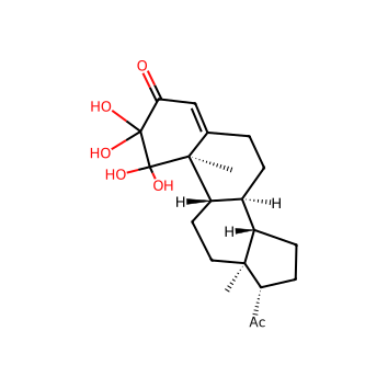 CC(=O)[C@H]1CC[C@H]2[C@@H]3CCC4=CC(=O)C(O)(O)C(O)(O)[C@]4(C)[C@H]3CC[C@]12C